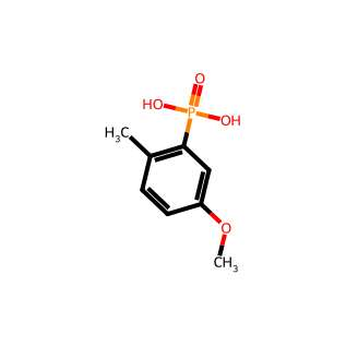 COc1ccc(C)c(P(=O)(O)O)c1